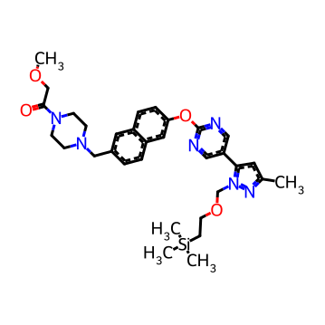 COCC(=O)N1CCN(Cc2ccc3cc(Oc4ncc(-c5cc(C)nn5COCC[Si](C)(C)C)cn4)ccc3c2)CC1